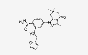 Cc1nn(-c2ccc(C(N)=O)c(NCc3ccco3)c2)c2c1C(=O)CC(C)(C)C2